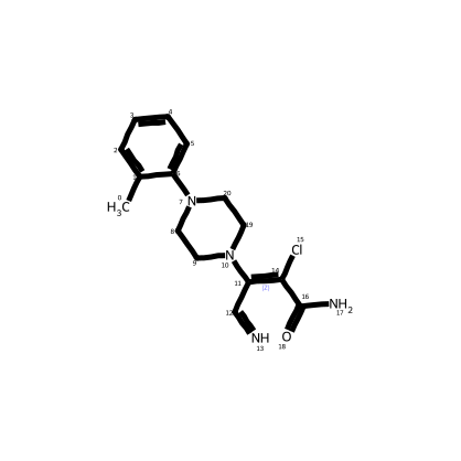 Cc1ccccc1N1CCN(/C(C=N)=C(\Cl)C(N)=O)CC1